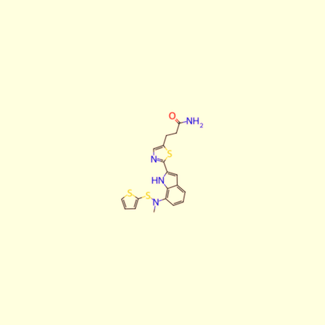 CN(Sc1cccs1)c1cccc2cc(-c3ncc(CCC(N)=O)s3)[nH]c12